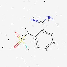 N=C(N)c1ccccc1CS(=O)(=O)F